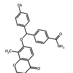 Cc1c(OC(c2ccc(C#N)cc2)c2ccc(C(N)=O)cc2)ccc2c1OCCC2=O